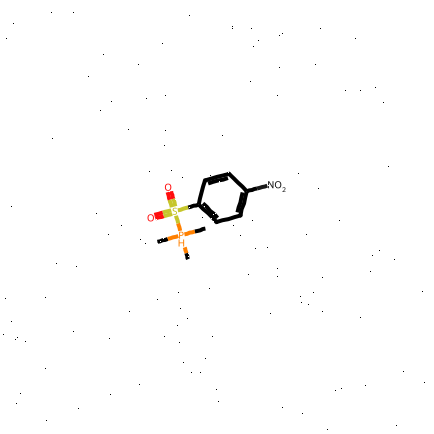 C[PH](C)(C)S(=O)(=O)c1ccc([N+](=O)[O-])cc1